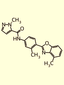 Cc1cc(NC(=O)c2ccnn2C)ccc1-c1nc2c(C)cccc2o1